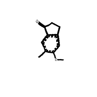 COc1cc2c(cc1C)C(=O)CC2